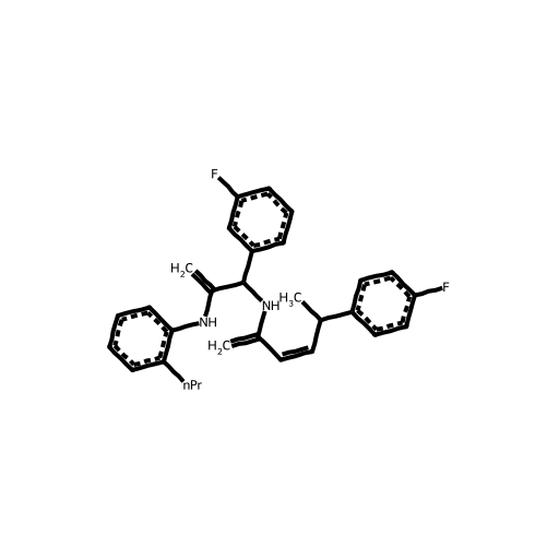 C=C(/C=C\C(C)c1ccc(F)cc1)NC(C(=C)Nc1ccccc1CCC)c1cccc(F)c1